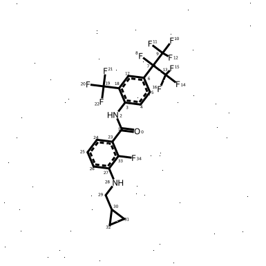 O=C(Nc1ccc(C(F)(C(F)(F)F)C(F)(F)F)cc1C(F)(F)F)c1cccc(NCC2CC2)c1F